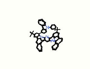 CC(C)(C)c1cc(-c2ccc3c(c2)c2ccccc2n3-c2ccccc2)c2c(c1)c1cc3ccccc3c3c4cc5c(nc4n2c13)c1cc(C(C)(C)C)cc2c3ccc4ccccc4c3n5c21